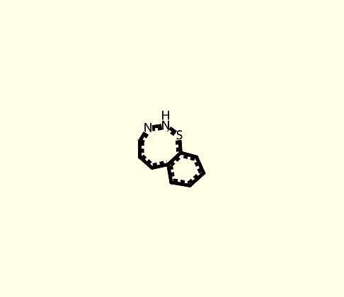 c1ccc2s[nH]ncccc2c1